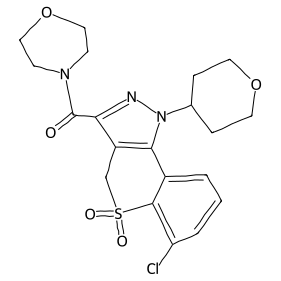 O=C(c1nn(C2CCOCC2)c2c1CS(=O)(=O)c1c(Cl)cccc1-2)N1CCOCC1